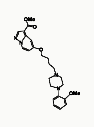 COC(=O)c1cnn2ccc(OCCCCN3CCN(c4ccccc4OC)CC3)cc12